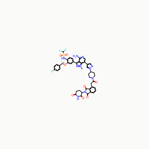 C[C@H](Oc1cc(-c2nn(C)c3c(-c4cnn(C5CCN(C(=O)Cc6cccc7c6C(=O)N(C6CCC(=O)NC6=O)C7=O)CC5)c4)cnc(N)c23)ccc1NS(=O)(=O)C(F)F)c1ccc(F)cc1